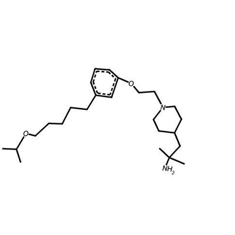 CC(C)OCCCCCc1cccc(OCCN2CCC(CC(C)(C)N)CC2)c1